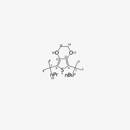 CCCCC(C)(C)c1sc(C(C)(C)CCC)c2c1OCCO2